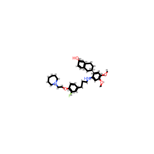 COc1cc(NCCCc2ccc(OCCN3CCCCCC3)c(F)c2)c([C@@H]2CCc3cc(O)ccc3C2)cc1OC